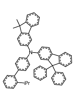 CC(C)c1ccccc1-c1ccc(N(c2ccc3c(c2)-c2ccccc2C3(C)C)c2ccc3c(c2)C(c2ccccc2)(c2ccccc2)c2ccccc2-3)cc1